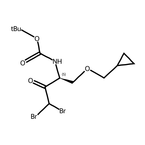 CC(C)(C)OC(=O)N[C@@H](COCC1CC1)C(=O)C(Br)Br